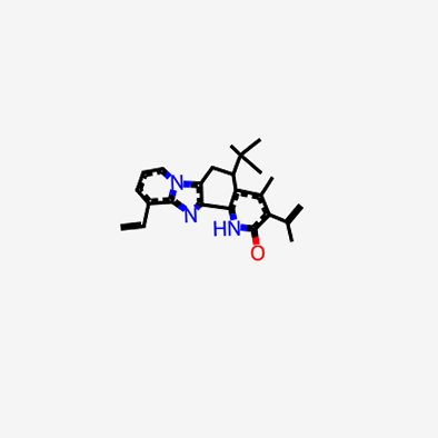 C=Cc1cccn2c3c(nc12)-c1[nH]c(=O)c(C(=C)C)c(C)c1C(C(C)(C)C)C3